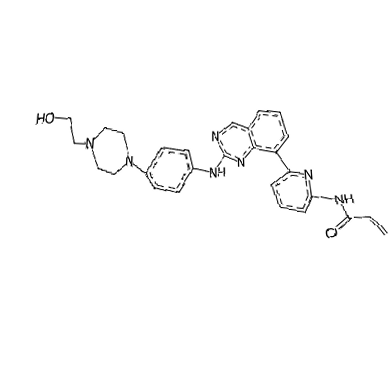 C=CC(=O)Nc1cccc(-c2cccc3cnc(Nc4ccc(N5CCN(CCO)CC5)cc4)nc23)n1